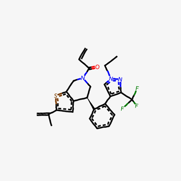 C=CC(=O)N1Cc2sc(C(=C)C)cc2[C@H](c2ccccc2-c2cn(CC)nc2C(F)(F)F)C1